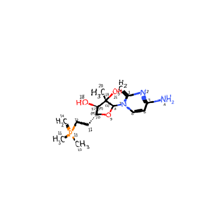 C=C1N=C(N)C=CN1C1O[C@H](CCP(=C)(C)C)[C@@H](O)[C@]1(C)O